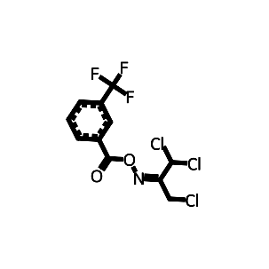 O=C(ON=C(CCl)C(Cl)Cl)c1cccc(C(F)(F)F)c1